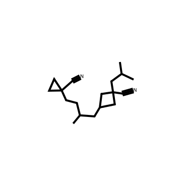 CC(C)CC1(C#N)CC(CC(C)CCC2(C#N)CC2)C1